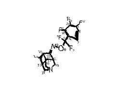 Fc1ccc(C(F)(F)ON=C2C3CC4CC2CN(C4)C3)c(F)c1F